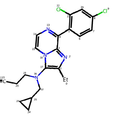 CCc1nc2c(-c3ccc(Cl)cc3Cl)nccn2c1N(CCC#N)CC1CC1